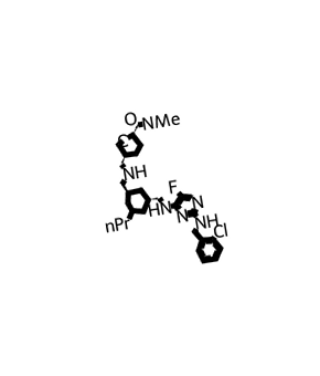 CCCC1C[C@@H](CNC[C@H]2CC[C@@H](C(=O)NC)CC2)C[C@H](CNc2nc(NCc3ccccc3Cl)ncc2F)C1